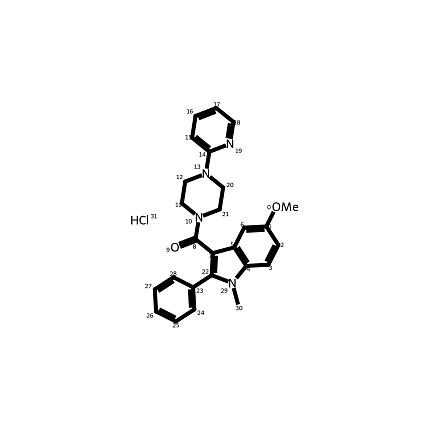 COc1ccc2c(c1)c(C(=O)N1CCN(c3ccccn3)CC1)c(-c1ccccc1)n2C.Cl